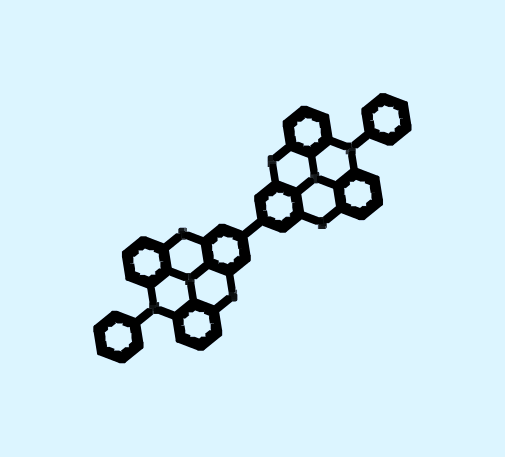 c1ccc(N2c3cccc4c3B3c5c(cc(-c6cc7c8c(c6)Sc6cccc9c6B8c6c(cccc6N9c6ccccc6)S7)cc5Sc5cccc2c53)S4)cc1